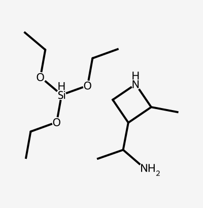 CC(N)C1CNC1C.CCO[SiH](OCC)OCC